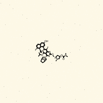 C#Cc1c(F)ccc2cc(O)cc(-c3nc(OC(C)C)c4c(N5CC6CCC(C5)N6)nc(OC[C@@H]5C[C@@H](OC(=O)N(C)C)CN5C)nc4c3F)c12